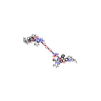 CC/N=C1/C=C2Oc3cc(NCC)c(C)cc3C(c3ccccc3C(=O)N(C)CCOC(=O)NCCCOCCOCCOCCCNC3NC(=O)N(C4CC(O[Si](C)(C)C(C)(C)C)C(CC)O4)C=C3C)C2C=C1C